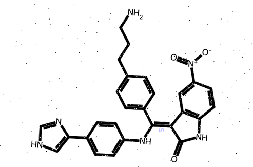 NCCCc1ccc(/C(Nc2ccc(-c3c[nH]cn3)cc2)=C2/C(=O)Nc3ccc([N+](=O)[O-])cc32)cc1